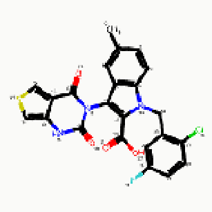 Cc1ccc2c(c1)c(-n1c(=O)[nH]c3cscc3c1=O)c(C(=O)O)n2Cc1cc(F)ccc1Cl